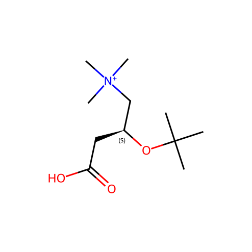 CC(C)(C)O[C@@H](CC(=O)O)C[N+](C)(C)C